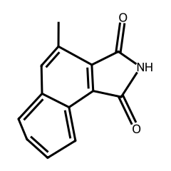 Cc1cc2ccccc2c2c1C(=O)NC2=O